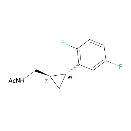 CC(=O)NC[C@@H]1C[C@H]1c1cc(F)ccc1F